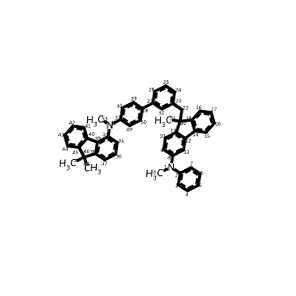 CN(c1ccccc1)c1ccc2c(c1)-c1ccccc1C2(C)Cc1cccc(-c2ccc(N(C)c3cccc4c3-c3ccccc3C4(C)C)cc2)c1